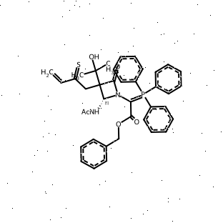 C=CC(=S)CC1(C(C)(C)O)C(=O)N(C(C(=O)OCc2ccccc2)=P(c2ccccc2)(c2ccccc2)c2ccccc2)[C@@H]1NC(C)=O